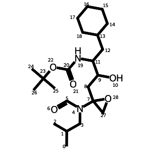 CC(C)CN(C=O)C1(CC(O)C(CC2CCCCC2)NC(=O)OC(C)(C)C)CO1